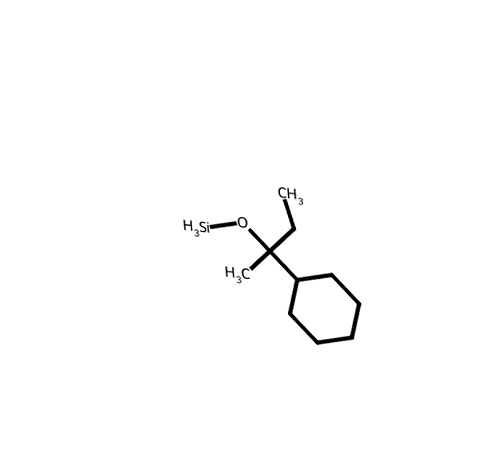 CCC(C)(O[SiH3])C1CCCCC1